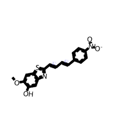 COc1cc2sc(/C=C/C=C/c3ccc([N+](=O)[O-])cc3)nc2cc1O